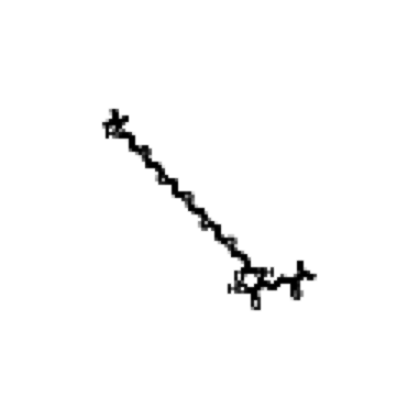 CC(C)C(=O)CCC(NC(=O)CCOCCOCCOCCOCCOCCNC(C)(C)C)C(=O)O